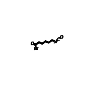 O=C=NCCCCCC(=O)Br